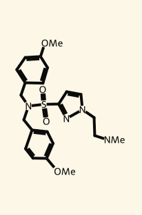 CNCCn1ccc(S(=O)(=O)N(Cc2ccc(OC)cc2)Cc2ccc(OC)cc2)n1